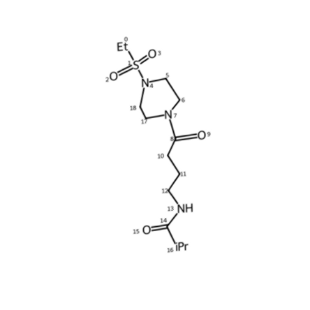 CCS(=O)(=O)N1CCN(C(=O)CCCNC(=O)C(C)C)CC1